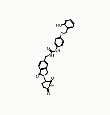 O=C1CCC(N2Cc3cc(CNC(=O)Nc4ccc(OCc5ccccc5O)cc4)ccc3C2=O)C(=O)N1